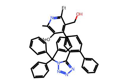 CCc1nc(C)c(OC)c(-c2ccc(-c3ccccc3)c(-c3nnnn3C(c3ccccc3)(c3ccccc3)c3ccccc3)c2)c1CO